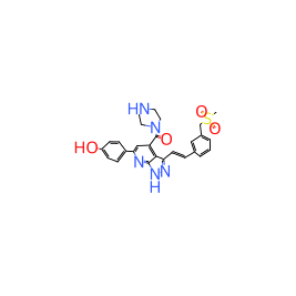 CS(=O)(=O)Cc1cccc(C=Cc2n[nH]c3nc(-c4ccc(O)cc4)cc(C(=O)N4CCNCC4)c23)c1